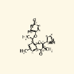 Cc1cc([C@@H](C)Oc2ccc(Cl)nc2F)c2oc(-c3ccn[nH]3)c(C)c(=O)c2c1